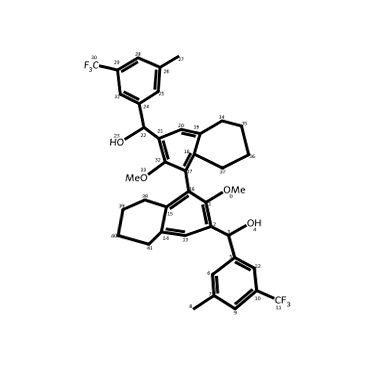 COc1c(C(O)c2cc(C)cc(C(F)(F)F)c2)cc2c(c1-c1c3c(cc(C(O)c4cc(C)cc(C(F)(F)F)c4)c1OC)CCCC3)CCCC2